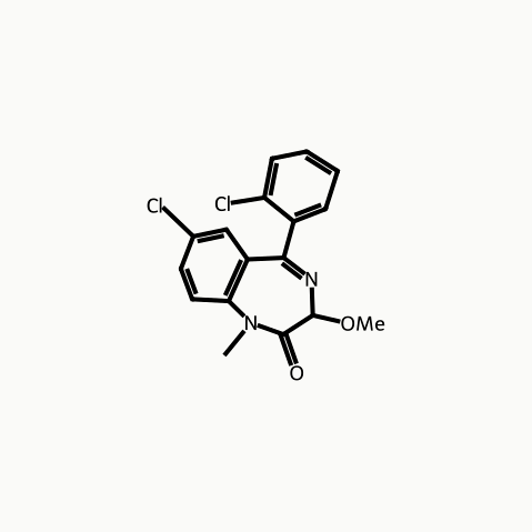 COC1N=C(c2ccccc2Cl)c2cc(Cl)ccc2N(C)C1=O